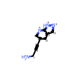 NCC#Cc1cnc2[nH]ncc2c1